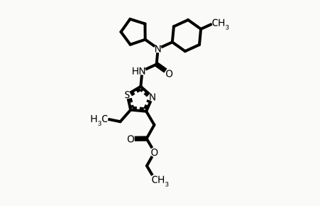 CCOC(=O)Cc1nc(NC(=O)N(C2CCCC2)C2CCC(C)CC2)sc1CC